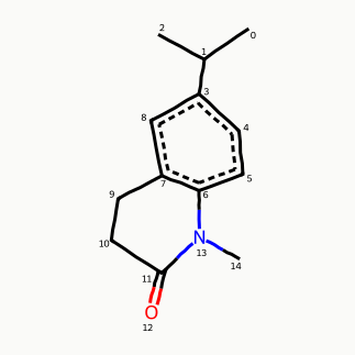 CC(C)c1ccc2c(c1)CCC(=O)N2C